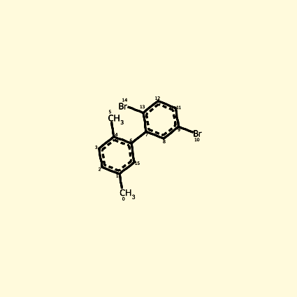 Cc1ccc(C)c(-c2cc(Br)ccc2Br)c1